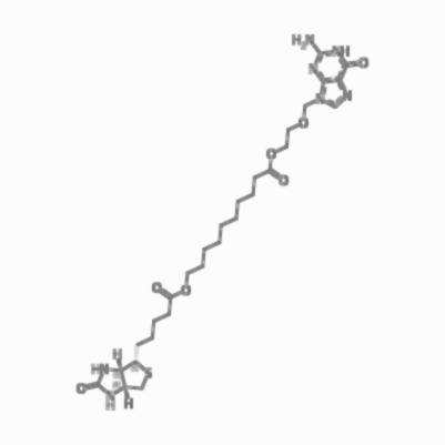 Nc1nc2c(ncn2COCCOC(=O)CCCCCCCCCOC(=O)CCCC[C@@H]2SC[C@@H]3NC(=O)N[C@@H]32)c(=O)[nH]1